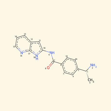 C[C@@H](N)c1ccc(C(=O)Nc2cc3cccnc3[nH]2)cc1